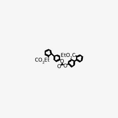 CCOC(=O)c1ccccc1-c1ccc(OC(=O)Oc2ccc(-c3ccccc3C(=O)OCC)cc2)cc1